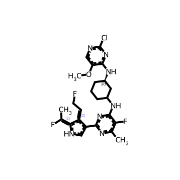 COc1cnc(Cl)nc1N[C@@H]1CCCC(Nc2nc(-c3c[nH]c(=C(/C)F)/c3=C\CF)nc(C)c2F)C1